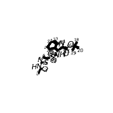 CC(=O)Nc1ncc(S(=O)(=O)NC2C(C(=O)OC(C)(C)C)=Nc3ccccc32)s1